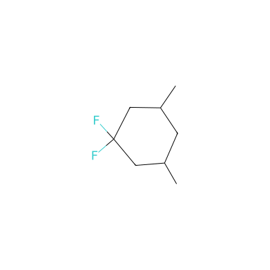 CC1CC(C)CC(F)(F)C1